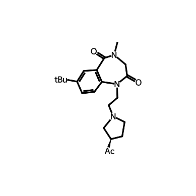 CC(=O)[C@@H]1CCN(CCN2C(=O)CN(C)C(=O)c3cc(C(C)(C)C)ccc32)C1